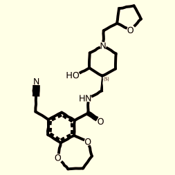 N#CCc1cc2c(c(C(=O)NC[C@@H]3CCN(CC4CCCO4)CC3O)c1)OCCCO2